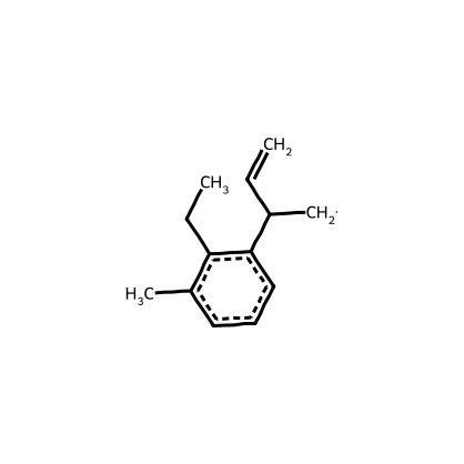 [CH2]C(C=C)c1cccc(C)c1CC